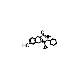 NC(=O)[C@H]1Cc2ccc(O)cc2CN1[C@H](CC1CCCCC1)C1CC1